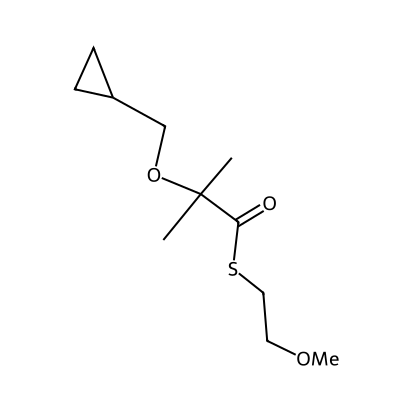 COCCSC(=O)C(C)(C)OCC1CC1